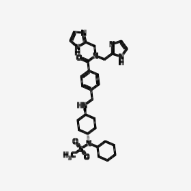 CS(=O)(=O)N(C1CCCCC1)[C@H]1CC[C@H](NCc2ccc(C(=O)N(Cc3ncc[nH]3)Cc3ncc[nH]3)cc2)CC1